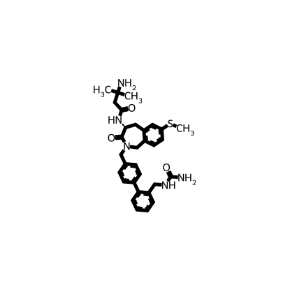 CSc1ccc2c(c1)C[C@@H](NC(=O)CC(C)(C)N)C(=O)N(Cc1ccc(-c3ccccc3CNC(N)=O)cc1)C2